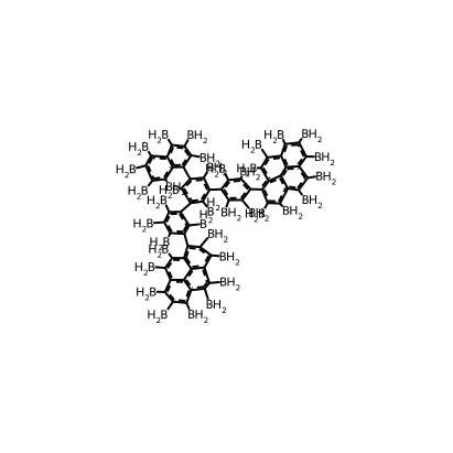 Bc1c(B)c(-c2c(B)c(-c3c(B)c(B)c(-c4c(B)c(B)c5c(B)c(B)c6c(B)c(B)c(B)c7c(B)c(B)c4c5c67)c(B)c3B)c(B)c(-c3c(B)c(B)c(B)c4c(B)c(B)c(B)c(B)c34)c2B)c(B)c(-c2c(B)c(B)c3c(B)c(B)c4c(B)c(B)c(B)c5c(B)c(B)c2c3c45)c1B